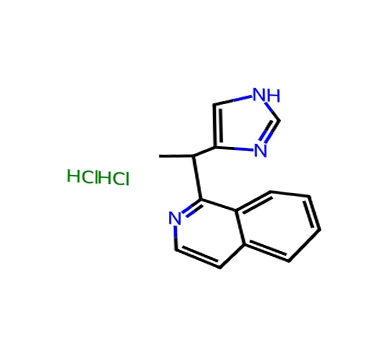 CC(c1c[nH]cn1)c1nccc2ccccc12.Cl.Cl